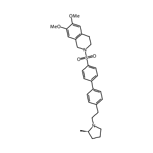 COc1cc2c(cc1OC)CN(S(=O)(=O)c1ccc(-c3ccc(CCN4CCC[C@H]4C)cc3)cc1)CC2